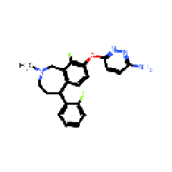 CN1CCC(c2ccccc2F)c2ccc(Oc3ccc(N)nn3)c(F)c2C1